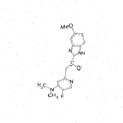 COc1ccc2[nH]c([S+]([O-])Cc3cc(N(C)C)c(F)cn3)nc2c1